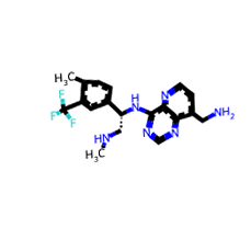 CNC[C@@H](Nc1ncnc2c(CN)ccnc12)c1ccc(C)c(C(F)(F)F)c1